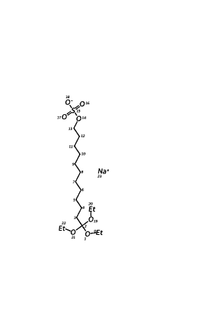 CCOC(CCCCCCCCCCCOS(=O)(=O)[O-])(OCC)OCC.[Na+]